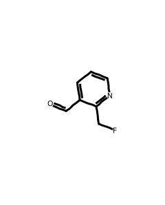 O=Cc1cccnc1CF